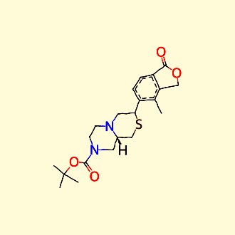 Cc1c(C2CN3CCN(C(=O)OC(C)(C)C)C[C@H]3CS2)ccc2c1COC2=O